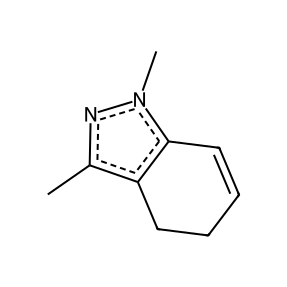 Cc1nn(C)c2c1CCC=C2